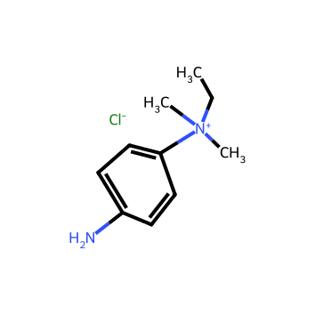 CC[N+](C)(C)c1ccc(N)cc1.[Cl-]